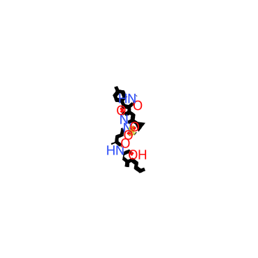 C=C(/C=C\C=C/C)C[C@H](CO)NC(=O)[C@@H](C)CCCN(c1nc2oc(-c3ccc(C)cc3)c(C(=O)NC)c2cc1C1CC1)S(C)(=O)=O